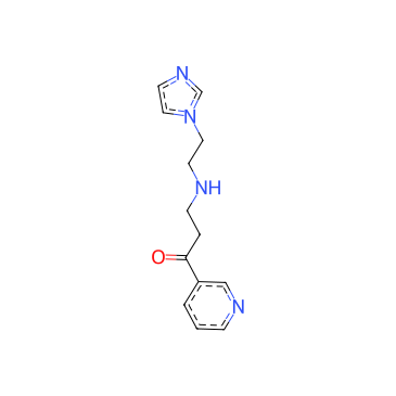 O=C(CCNCCn1ccnc1)c1cccnc1